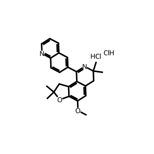 COc1cc2c(c3c1OC(C)(C)C3)C(c1ccc3ncccc3c1)=NC(C)(C)C2.Cl.Cl